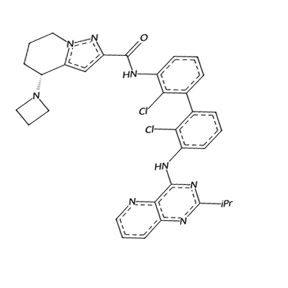 CC(C)c1nc(Nc2cccc(-c3cccc(NC(=O)c4cc5n(n4)CCC[C@H]5N4CCC4)c3Cl)c2Cl)c2ncccc2n1